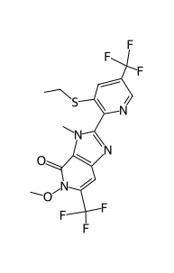 CCSc1cc(C(F)(F)F)cnc1-c1nc2cc(C(F)(F)F)n(OC)c(=O)c2n1C